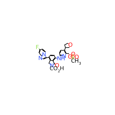 CS(=O)(=O)OCc1nc(Nc2ccc(-c3cnc4cc(F)ccn34)c3c2C(=O)N(C(=O)O)C3)ccc1C1CCOC1